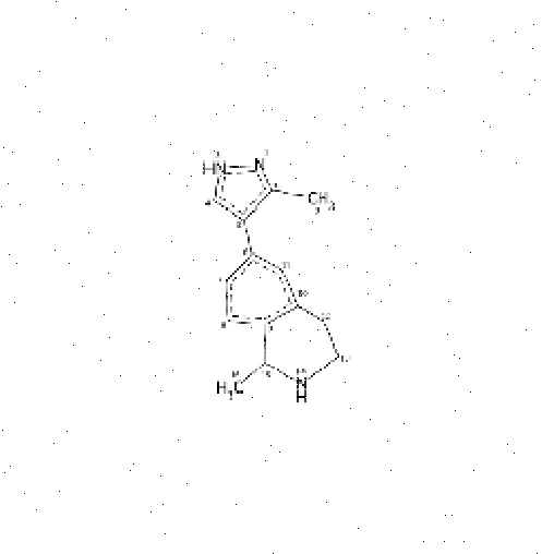 Cc1n[nH]cc1-c1ccc2c(c1)CCNC2C